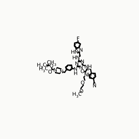 COCCOCCNC(=O)[C@H](Cc1ccc(C#N)cc1)Nc1nc(NCc2nc3cc(F)ccc3[nH]2)nc(Nc2cccc(CN3CCN(C(=O)OC(C)(C)C)CC3)c2)n1